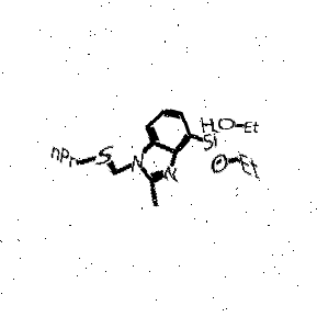 CCCSCn1c(C)nc2c([SiH](OCC)OCC)cccc21